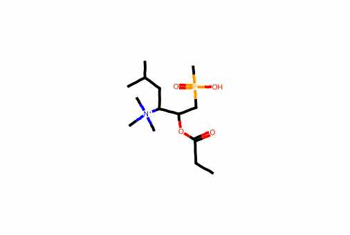 CCC(=O)OC(CP(C)(=O)O)C(CC(C)C)[N+](C)(C)C